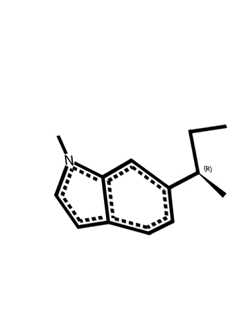 CC[C@@H](C)c1ccc2ccn(C)c2c1